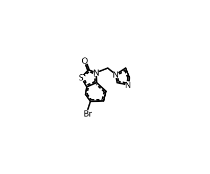 O=c1sc2cc(Br)ccc2n1Cn1ccnc1